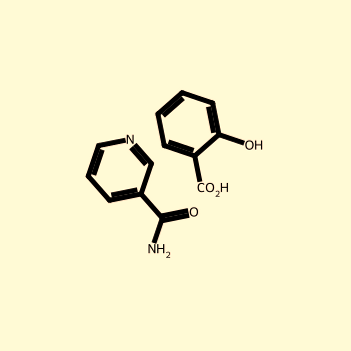 NC(=O)c1cccnc1.O=C(O)c1ccccc1O